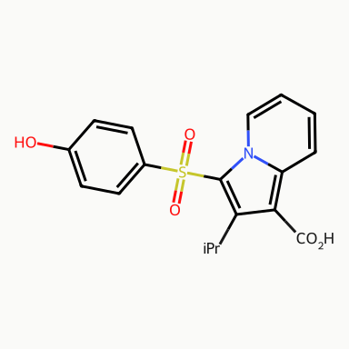 CC(C)c1c(C(=O)O)c2ccccn2c1S(=O)(=O)c1ccc(O)cc1